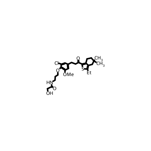 CCc1sc(C(=O)CCc2cc(Cl)c(OCCCNC(=O)CO)c(OC)c2)c2c1CC(C)(C)CC2